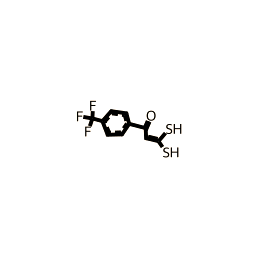 O=C(C=C(S)S)c1ccc(C(F)(F)F)cc1